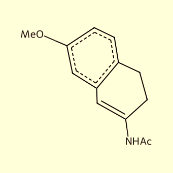 COc1ccc2c(c1)C=C(NC(C)=O)CC2